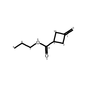 C=C1CC(C(=O)OCCC)C1